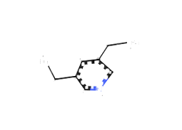 CC(C)(C)Cc1cncc(CC(C)(C)C)c1